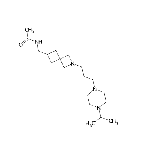 CC(=O)NCC1CC2(C1)CN(CCCN1CCN(C(C)C)CC1)C2